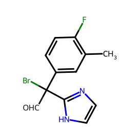 Cc1cc(C(Br)(C=O)c2ncc[nH]2)ccc1F